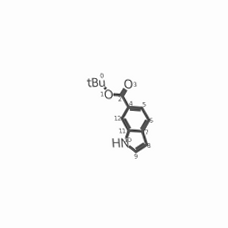 CC(C)(C)OC(=O)c1ccc2cc[nH]c2c1